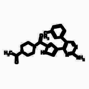 CC(=O)N1CCN(C(=O)c2cc(-c3nc(N)ncc3-c3cccc(C)c3)c[nH]2)CC1